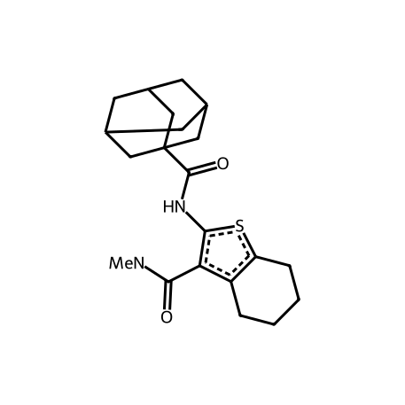 CNC(=O)c1c(NC(=O)C23CC4CC(CC(C4)C2)C3)sc2c1CCCC2